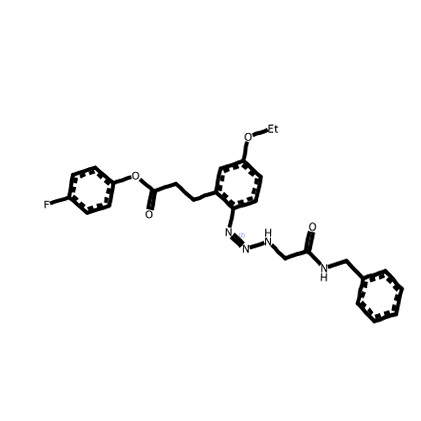 CCOc1ccc(/N=N\NCC(=O)NCc2ccccc2)c(CCC(=O)Oc2ccc(F)cc2)c1